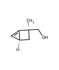 C[C@]1(CO)C[C@H]2C=C21